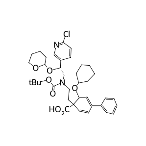 CC(C)(C)OC(=O)N(CCC1(C(=O)O)C=CC(c2ccccc2)=CC1OC1CCCCC1)C[C@H](OC1CCCCO1)c1ccc(Cl)nc1